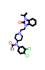 C=C(C)n1c(=O)n(CCN2CCC(N(C(=O)CC)c3ccc(Cl)c(Cl)c3)CC2)c2ccccc21